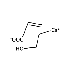 C=CC(=O)[O-].OC[CH2][Ca+]